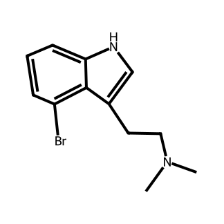 CN(C)CCc1c[nH]c2cccc(Br)c12